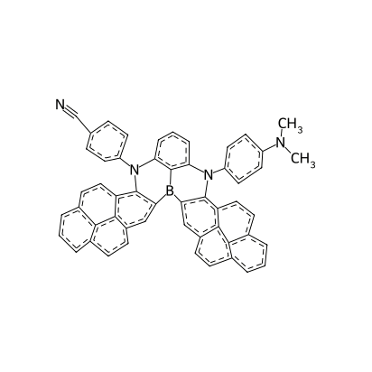 CN(C)c1ccc(N2c3cccc4c3B(c3cc5ccc6cccc7ccc(c3N4c3ccc(C#N)cc3)c5c67)c3cc4ccc5cccc6ccc(c32)c4c56)cc1